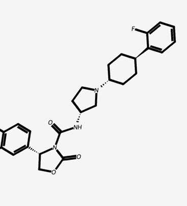 O=C(N[C@@H]1CCN([C@H]2CC[C@H](c3ccccc3F)CC2)C1)N1C(=O)OC[C@@H]1c1ccc(F)c(F)c1